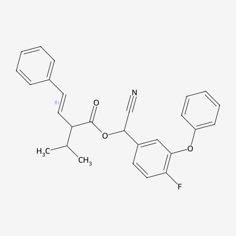 CC(C)C(/C=C/c1ccccc1)C(=O)OC(C#N)c1ccc(F)c(Oc2ccccc2)c1